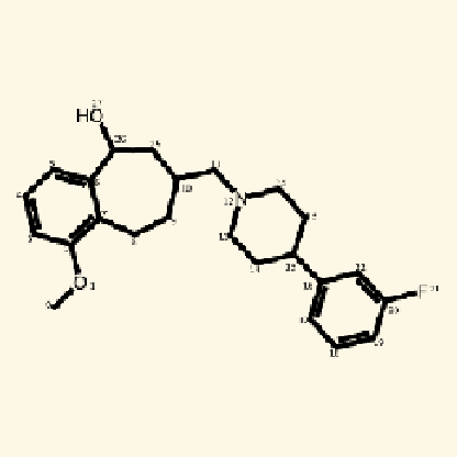 COc1cccc2c1CCC(CN1CCC(c3cccc(F)c3)CC1)CC2O